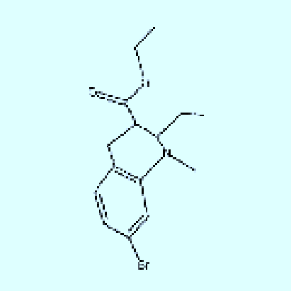 CCOC(=O)C1Cc2ccc(Br)cc2N(C)C1CC